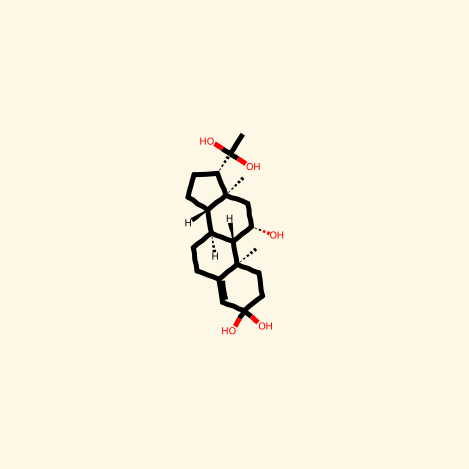 CC(O)(O)[C@H]1CC[C@H]2[C@@H]3CCC4=CC(O)(O)CC[C@]4(C)[C@H]3[C@@H](O)C[C@]12C